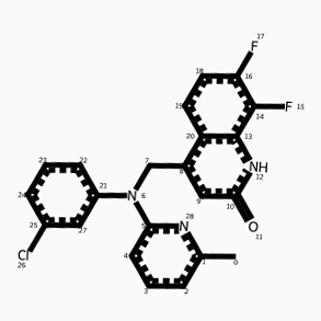 Cc1cccc(N(Cc2cc(=O)[nH]c3c(F)c(F)ccc23)c2cccc(Cl)c2)n1